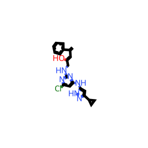 C=C(/C=C(\O)CNc1nc(Cl)cc(Nc2cc(C3CC3)n[nH]2)n1)c1ccccc1